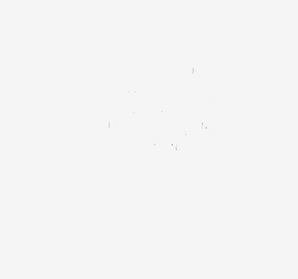 CCC(=O)c1cn(CC(F)(F)F)c2ncc(F)cc12